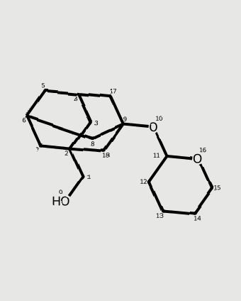 OCC12CC3CC(C1)CC(OC1CCCCO1)(C3)C2